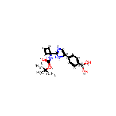 CC(C)(C)OC(=O)NC1(c2ncc(-c3ccc(B(O)O)cc3)[nH]2)CCC1